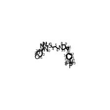 Cn1c(SCCCN2CCC3(C[C@@H]3c3ccc(C(F)(F)F)cc3)C2)nnc1N1CCOCC1